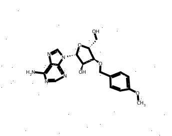 COc1ccc(CO[C@H]2[C@@H](O)[C@H](n3cnc4c(N)ncnc43)O[C@@H]2CO)cc1